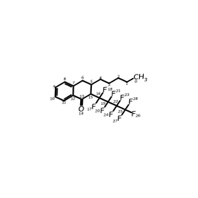 CCCCCC1Cc2ccccc2C(=O)C1C(F)(F)C(F)(F)C(F)(F)C(F)(F)F